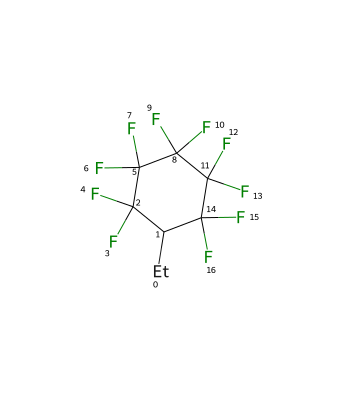 CCC1C(F)(F)C(F)(F)C(F)(F)C(F)(F)C1(F)F